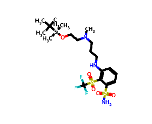 CN(CCCNc1cccc(S(N)(=O)=O)c1S(=O)(=O)C(F)(F)F)CCO[Si](C)(C)C(C)(C)C